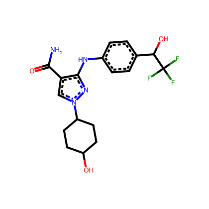 NC(=O)c1cn(C2CCC(O)CC2)nc1Nc1ccc(C(O)C(F)(F)F)cc1